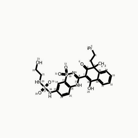 CC(C)CCC1(C)C(=O)C(C2=NS(=O)(=O)c3cc(NS(=O)(=O)NCCO)ccc3N2)=C(O)c2ccccc21